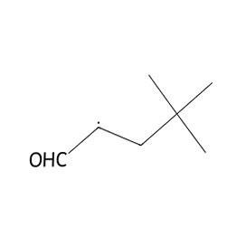 CC(C)(C)C[CH]C=O